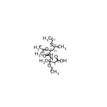 CCOC(C)(CC(=O)O)NC(=O)C(CC(C)SCC)OC(C)C